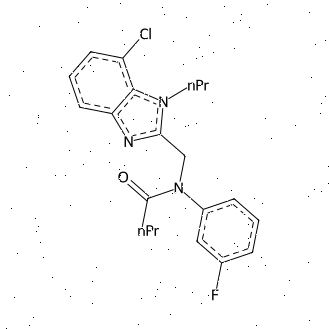 CCCC(=O)N(Cc1nc2cccc(Cl)c2n1CCC)c1cccc(F)c1